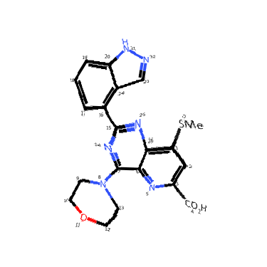 CSc1cc(C(=O)O)nc2c(N3CCOCC3)nc(-c3cccc4[nH]ncc34)nc12